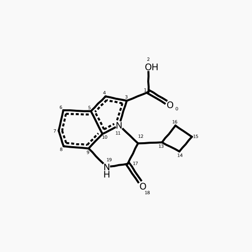 O=C(O)c1cc2cccc3c2n1C(C1CCC1)C(=O)N3